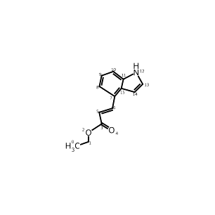 CCOC(=O)/C=C/c1cccc2[nH]ccc12